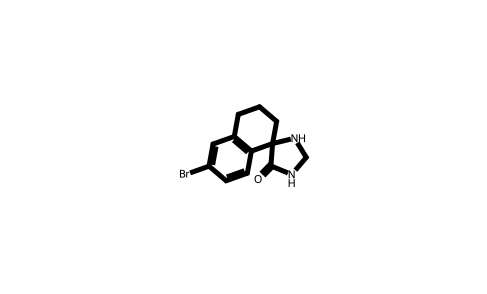 O=C1NCNC12CCCc1cc(Br)ccc12